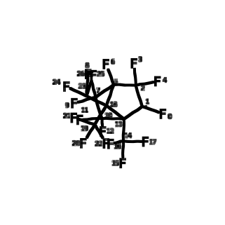 F[C]1C(F)(F)C2(F)C(F)(F)C(F)(F)C1(C(F)(F)F)C2(C(F)(F)F)C(F)(F)F